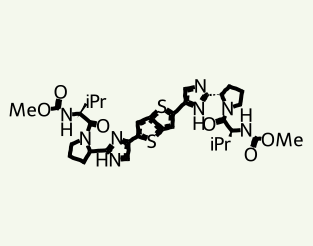 COC(=O)N[C@H](C(=O)N1CCCC1c1nc(-c2cc3sc(-c4cnc([C@@H]5CCCN5C(=O)[C@@H](NC(=O)OC)C(C)C)[nH]4)cc3s2)c[nH]1)C(C)C